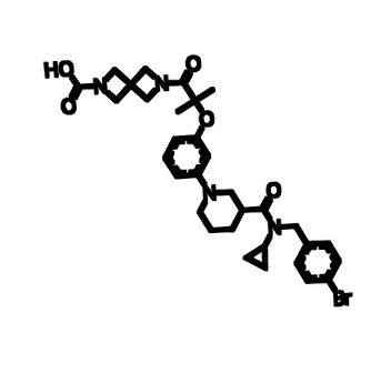 CC(C)(Oc1cccc(N2CCCC(C(=O)N(Cc3ccc(Br)cc3)C3CC3)C2)c1)C(=O)N1CC2(CN(C(=O)O)C2)C1